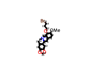 COc1ccc2cc3[n+](cc2c1OCCCBr)CCc1cc2c(cc1-3)OCO2